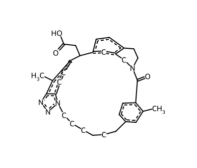 Cc1cc2ccc1C(=O)N1CCc3ccc(cc3C1)C(CC(=O)O)c1ccc3c(nnn3CCCCCC2)c1C